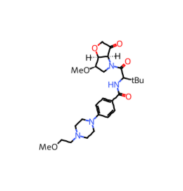 COCCN1CCN(c2ccc(C(=O)NC(C(=O)N3C[C@@H](OC)[C@H]4OCC(=O)[C@H]43)C(C)(C)C)cc2)CC1